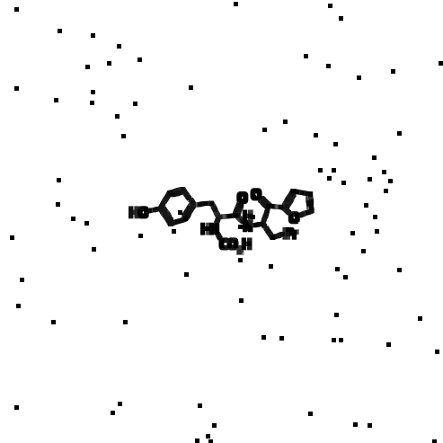 CC(C)CC(NC(=O)C(Cc1ccc(O)cc1)NC(=O)O)C(=O)c1ccco1